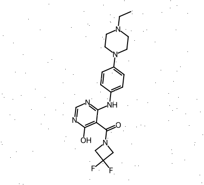 CCN1CCN(c2ccc(Nc3ncnc(O)c3C(=O)N3CC(F)(F)C3)cc2)CC1